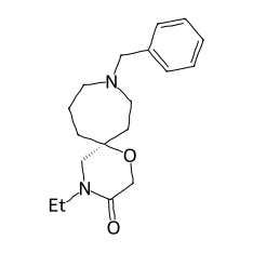 CCN1C[C@@]2(CCCN(Cc3ccccc3)CC2)OCC1=O